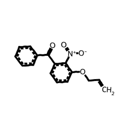 C=CCOc1cccc(C(=O)c2ccccc2)c1[N+](=O)[O-]